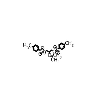 Cc1ccc(S(=O)(=O)OCC(COS(=O)(=O)c2ccc(C)cc2)OC(C)C)cc1